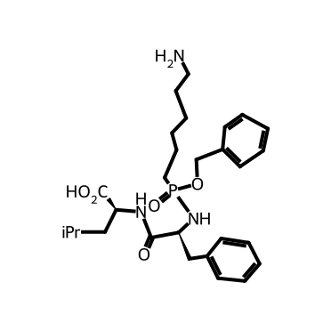 CC(C)C[C@H](NC(=O)[C@H](Cc1ccccc1)NP(=O)(CCCCCCN)OCc1ccccc1)C(=O)O